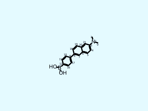 CN(C)c1ccc2cc(-c3ccc(B(O)O)cc3)ccc2c1